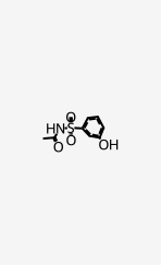 CC(=O)NS(=O)(=O)c1cccc(O)c1